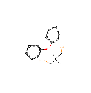 CCC(CC)(CP)CP.c1ccc(Oc2ccccc2)cc1